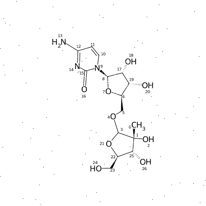 C[C@]1(O)C(OC[C@H]2O[C@@H](n3ccc(N)nc3=O)[C@H](O)[C@@H]2O)O[C@H](CO)[C@H]1O